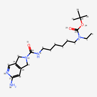 CCN(CCCCCCNC(=O)N1Cc2cnc(N)cc2C1)C(=O)OC(C)(C)C